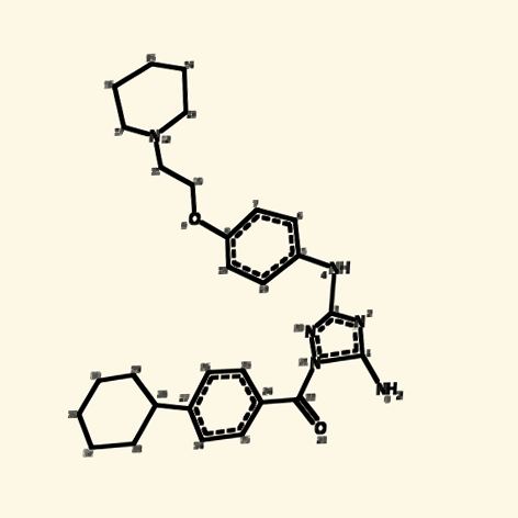 Nc1nc(Nc2ccc(OCCN3CCCCC3)cc2)nn1C(=O)c1ccc(C2CCCCC2)cc1